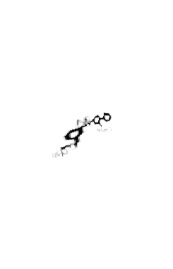 COCc1cc(-c2nc(-c3cccc(CN(C)CC(=O)OC(C)(C)C)c3)no2)ccc1-c1ccccc1C